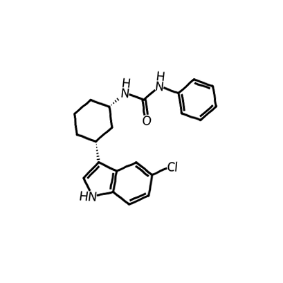 O=C(Nc1ccccc1)N[C@H]1CCC[C@@H](c2c[nH]c3ccc(Cl)cc23)C1